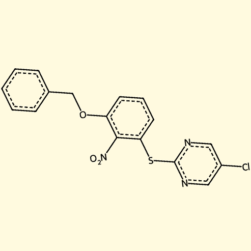 O=[N+]([O-])c1c(OCc2ccccc2)cccc1Sc1ncc(Cl)cn1